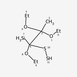 CCOC(C)(OCC)C([SiH3])(OCC)SS